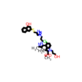 COC(=O)c1c(C)c2c(-c3c(C)c(C)nn3CCCn3cc(CSc4cc(O)c5ccccc5c4)nn3)c(Cl)ccc2n1CCCO